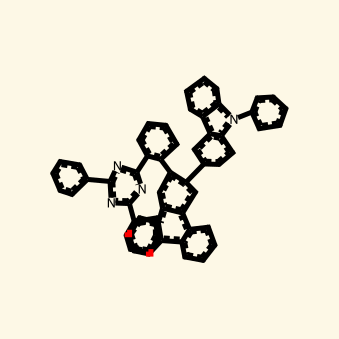 c1ccc(-c2nc(-c3ccccc3)nc(-c3ccccc3-c3cc4c5ccccc5c5ccccc5c4cc3-c3ccc4c(c3)c3ccccc3n4-c3ccccc3)n2)cc1